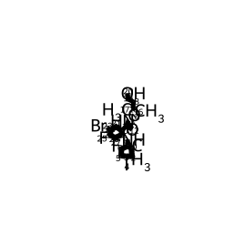 Cc1cc(I)ccc1Nc1c(C(=O)NOC(C)(C)CCO)cc(Br)c(F)c1F